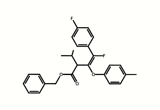 Cc1ccc(OC(=C(F)c2ccc(F)cc2)C(C(=O)OCc2ccccc2)C(C)C)cc1